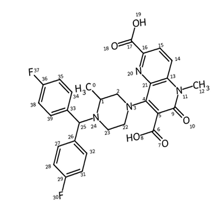 CC1CN(c2c(C(=O)O)c(=O)n(C)c3ccc(C(=O)O)nc23)CCN1C(c1ccc(F)cc1)c1ccc(F)cc1